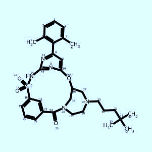 Cc1cccc(C)c1-c1cc2nc(n1)NS(=O)(=O)c1cccc(c1)C(=O)N1CCN(CCCC(C)(C)C)CC(C1)O2